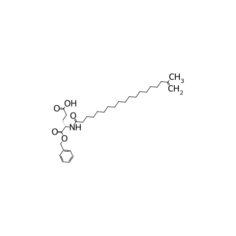 C=C(C)CCCCCCCCCCCCCCCCC(=O)N[C@@H](CCC(=O)O)C(=O)OCc1ccccc1